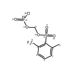 Cc1cccc(C(F)(F)F)c1S(=O)(=O)OCO[PH](=O)Cl